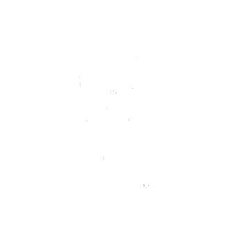 COC(=O)c1ccc(OC(F)(F)F)c(NC(=O)C2CC2)c1Cl